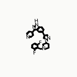 Fc1cccc(F)c1CN1CCCC(n2cc(-c3ccc4[nH]nc(-c5ccncc5)c4c3)cn2)C1